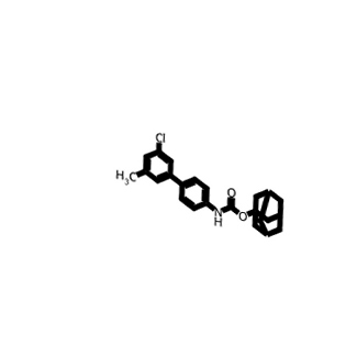 Cc1cc(Cl)cc(-c2ccc(NC(=O)OC34CC5CC(CC(C5)C3)C4)cc2)c1